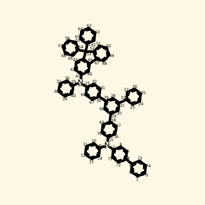 c1ccc(-c2ccc(N(c3ccccc3)c3ccc(-c4cc(-c5ccccc5)cc(-c5ccc(N(c6ccccc6)c6ccc7c(c6)-c6ccccc6C7(c6ccccc6)c6ccccc6)cc5)c4)cc3)cc2)cc1